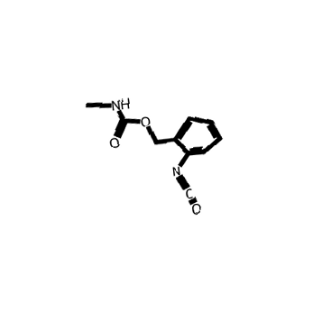 CNC(=O)OCc1ccccc1N=C=O